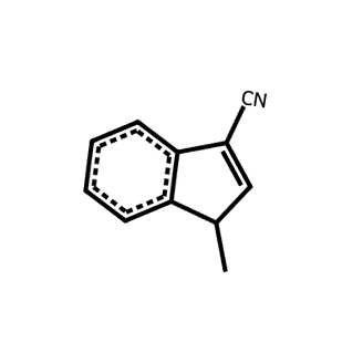 CC1C=C(C#N)c2ccccc21